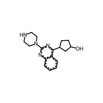 OC1CCC(c2nc(N3CCNCC3)nc3ccccc23)C1